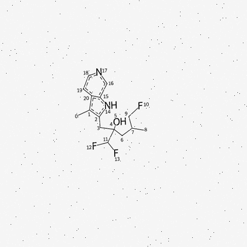 Cc1c(CC(O)(CC(C)CF)C(F)F)[nH]c2cnccc12